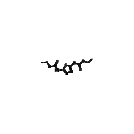 CCOC(=O)Nc1nnc(SC(=O)OCC)s1